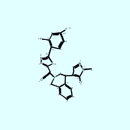 Cn1ncc(C2CN(C(=O)c3nnc(-c4ccc(F)cc4F)s3)Cc3ccccc32)c1Cl